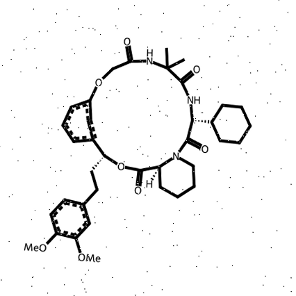 COc1ccc(CC[C@H]2OC(=O)[C@@H]3CCCCN3C(=O)[C@@H](C3CCCCC3)NC(=O)C(C)(C)NC(=O)COc3cccc2c3)cc1OC